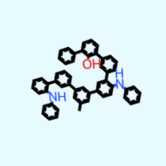 Cc1cc(-c2cccc(-c3ccccc3Nc3ccccc3)c2)cc(-c2ccc(Nc3ccccc3)c(-c3cccc(-c4cccc(-c5ccccc5)c4O)c3)c2)c1